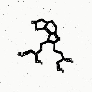 C=CC(=C)CCC1=C(CCC(=C)C=C)C2=C3CNCC3CCC2=N1